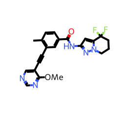 COc1ncncc1C#Cc1cc(C(=O)Nc2cc3n(n2)CCCC3(F)F)ccc1C